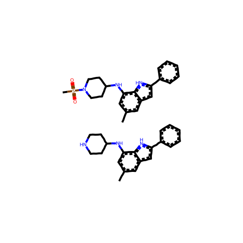 Cc1cc(NC2CCN(S(C)(=O)=O)CC2)c2[nH]c(-c3ccccc3)cc2c1.Cc1cc(NC2CCNCC2)c2[nH]c(-c3ccccc3)cc2c1